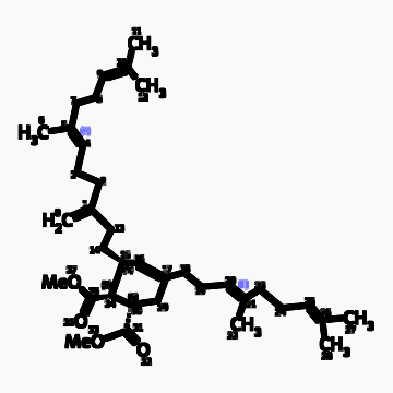 C=C(CC/C=C(\C)CCC=C(C)C)CC[C@H]1C=C(CC/C=C(\C)CCC=C(C)C)C[C@H](C(=O)OC)[C@H]1C(=O)OC